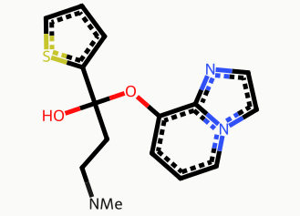 CNCCC(O)(Oc1cccn2ccnc12)c1cccs1